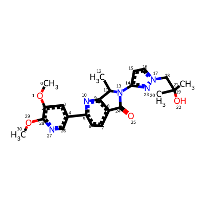 COc1cc(-c2ccc3c(n2)C(C)N(c2ccn(CC(C)(C)O)n2)C3=O)cnc1OC